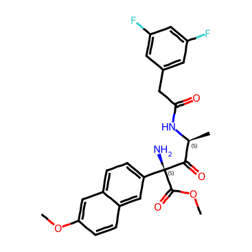 COC(=O)[C@@](N)(C(=O)[C@H](C)NC(=O)Cc1cc(F)cc(F)c1)c1ccc2cc(OC)ccc2c1